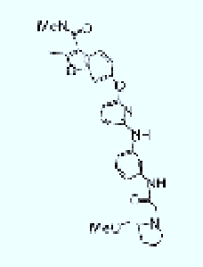 CNC(=O)c1c(C)oc2cc(Oc3cccc(Nc4cccc(NC(=O)CN5CCC[C@@H]5COC)c4)n3)ccc12